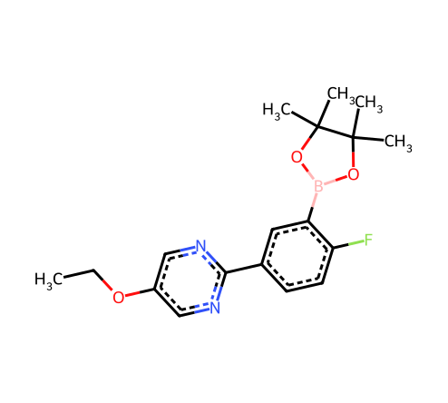 CCOc1cnc(-c2ccc(F)c(B3OC(C)(C)C(C)(C)O3)c2)nc1